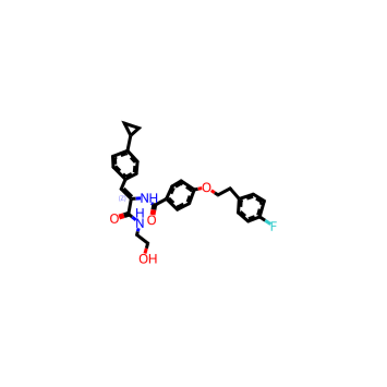 O=C(NCCO)/C(=C/c1ccc(C2CC2)cc1)NC(=O)c1ccc(OCCc2ccc(F)cc2)cc1